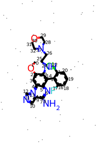 COc1cc2c(nc(N)c3cncn32)c(-c2c(F)cccc2Cl)c1NCCN1CCOCC1